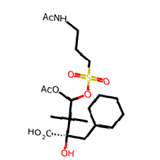 CC(=O)NCCCS(=O)(=O)OC(OC(C)=O)C(C)(C)[C@](O)(CC1CCCCC1)C(=O)O